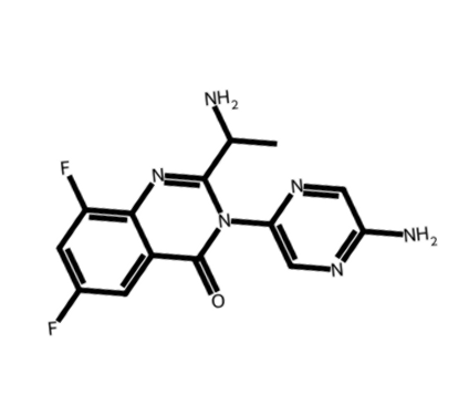 CC(N)c1nc2c(F)cc(F)cc2c(=O)n1-c1cnc(N)cn1